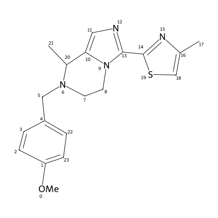 COc1ccc(CN2CCn3c(cnc3-c3nc(C)cs3)C2C)cc1